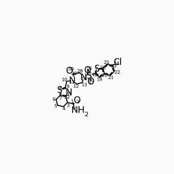 NC(=O)C1CCCc2sc(CN3CCN(S(=O)(=O)c4cc5ccc(Cl)cc5s4)CC3=O)nc21